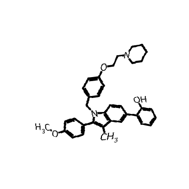 COc1ccc(-c2c(C)c3cc(-c4ccccc4O)ccc3n2Cc2ccc(OCCN3CCCCC3)cc2)cc1